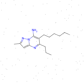 CCCCCCc1c(CCC)nc2cc(C)nn2c1N